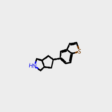 c1cc2cc(C3CC4CNCC4C3)ccc2s1